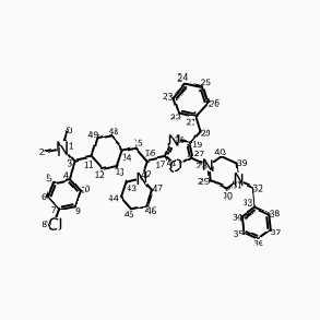 CN(C)C(c1ccc(Cl)cc1)C1CCC(CC(c2nc(Cc3ccccc3)c(N3CCN(Cc4ccccc4)CC3)o2)N2CCCCC2)CC1